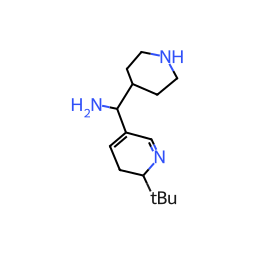 CC(C)(C)C1CC=C(C(N)C2CCNCC2)C=N1